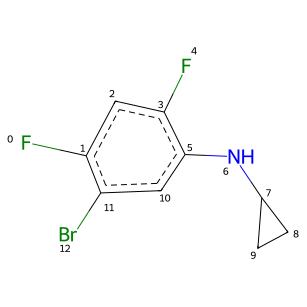 Fc1cc(F)c(NC2CC2)cc1Br